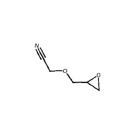 N#CCOCC1CO1